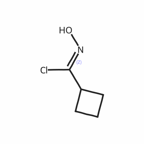 O/N=C(\Cl)C1CCC1